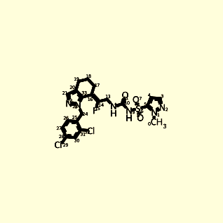 Cn1nccc1S(=O)(=O)NC(=O)NCC(F)=C1CCCc2cnn(Cc3ccc(Cl)cc3Cl)c21